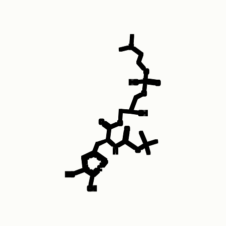 CN(C)CCOP(=O)(O)OCC(O)COC(=O)[C@H](Cc1ccc(O)c(O)c1)NC(=O)OC(C)(C)C